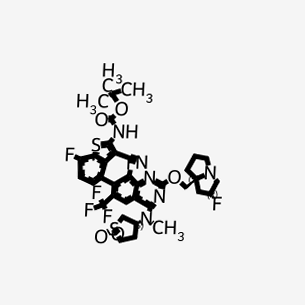 CN(c1nc(OC[C@@]23CCCN2C[C@H](F)C3)nc2c(F)c(-c3ccc(F)c4sc(NC(=O)OC(C)(C)C)c(C#N)c34)c(C(F)(F)F)cc12)[C@H]1CCS(=O)(=O)C1